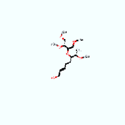 CCCCOCC(O[C@H](CC/C=C/CO)[C@H](C)OCCCC)[C@@H](COCCCC)OCCCC